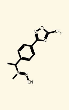 CC(c1ccc(-c2noc(C(F)(F)F)n2)cc1)S(C)=NC#N